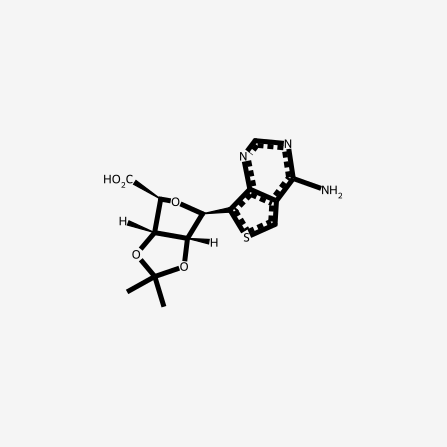 CC1(C)O[C@@H]2[C@H](O1)[C@@H](C(=O)O)O[C@H]2c1scc2c(N)ncnc12